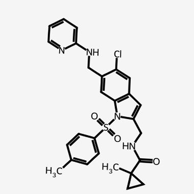 Cc1ccc(S(=O)(=O)n2c(CNC(=O)C3(C)CC3)cc3cc(Cl)c(CNc4ccccn4)cc32)cc1